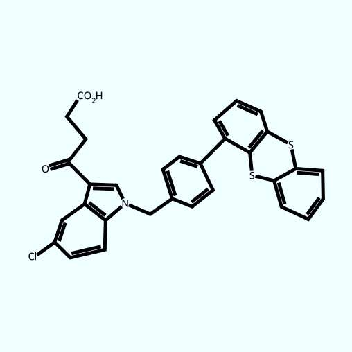 O=C(O)CCC(=O)c1cn(Cc2ccc(-c3cccc4c3Sc3ccccc3S4)cc2)c2ccc(Cl)cc12